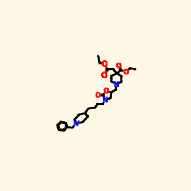 CCOC(=O)CC1(C(=O)OCC)CCN(CC2CN(CCCCC3CCN(Cc4ccccc4)CC3)C(=O)O2)CC1